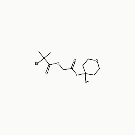 CCC(C)(C)C(=O)OCC(=O)OC1(C(C)C)CCOCC1